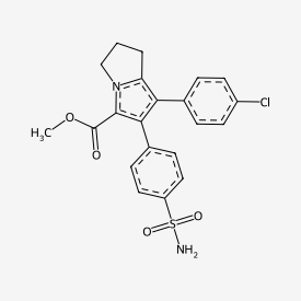 COC(=O)c1c(-c2ccc(S(N)(=O)=O)cc2)c(-c2ccc(Cl)cc2)c2n1CCC2